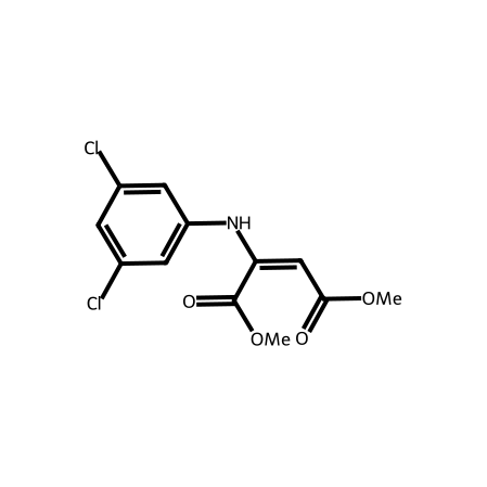 COC(=O)C=C(Nc1cc(Cl)cc(Cl)c1)C(=O)OC